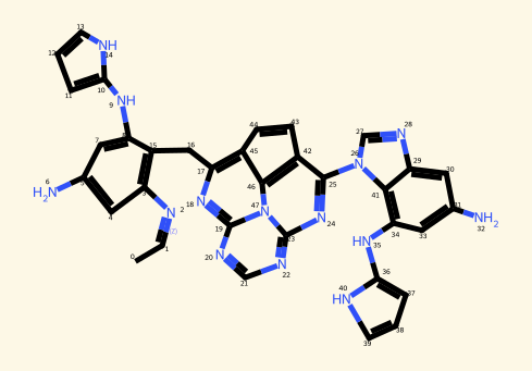 C/C=N\c1cc(N)cc(Nc2ccc[nH]2)c1Cc1nc2ncnc3nc(-n4cnc5cc(N)cc(Nc6ccc[nH]6)c54)c4ccc1c4n23